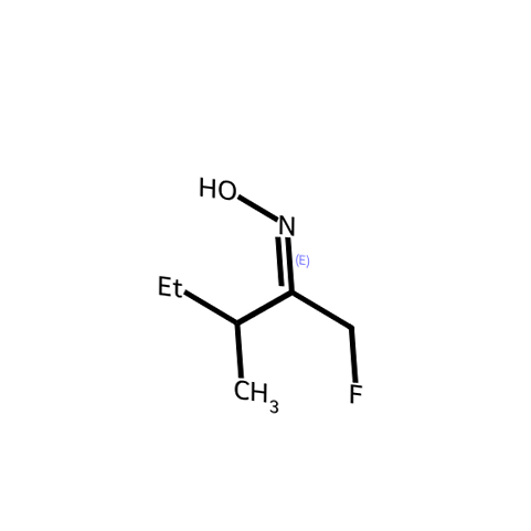 CCC(C)/C(CF)=N\O